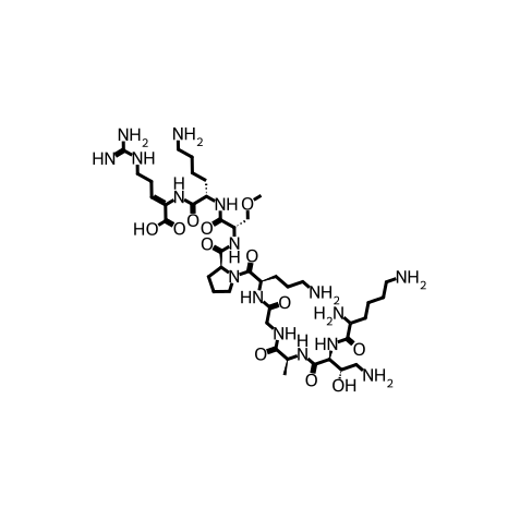 COC[C@H](NC(=O)[C@@H]1CCCN1C(=O)[C@@H](CCCN)NC(=O)CNC(=O)[C@H](C)NC(=O)[C@@H](NC(=O)C(N)CCCCN)[C@@H](O)CN)C(=O)N[C@@H](CCCCN)C(=O)N/C(=C\CCNC(=N)N)C(=O)O